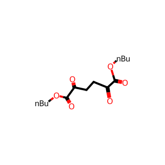 CCCCOC(=O)C(=O)CCC(=O)C(=O)OCCCC